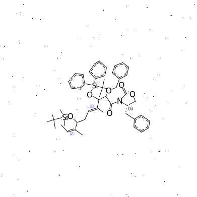 C/C=C(/C)C(C/C=C(\C)C(O[Si](c1ccccc1)(c1ccccc1)C(C)(C)C)C(OCc1ccccc1)C(=O)N1C(=O)OC[C@@H]1Cc1ccccc1)O[Si](C)(C)C(C)(C)C